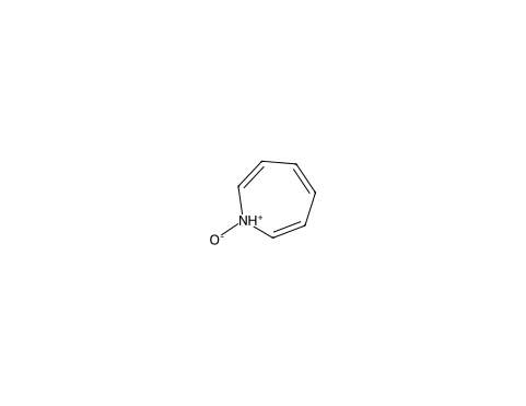 [O-][NH+]1C=CC=CC=C1